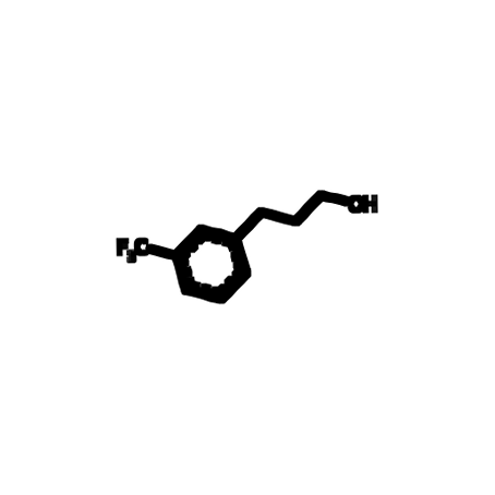 OCCCc1cccc(C(F)(F)F)c1